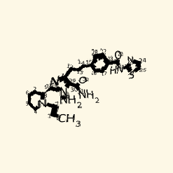 CC=CN1CCCC[C@H]1c1nc(CCCc2ccc(C(=O)Nc3nccs3)cc2)c(C(N)=O)n1N